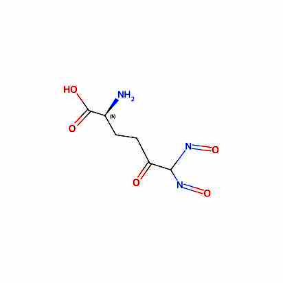 N[C@@H](CCC(=O)C(N=O)N=O)C(=O)O